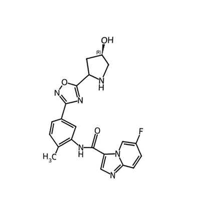 Cc1ccc(-c2noc(C3C[C@@H](O)CN3)n2)cc1NC(=O)c1cnc2ccc(F)cn12